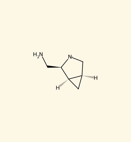 NC[C@H]1[N]C[C@H]2C[C@H]21